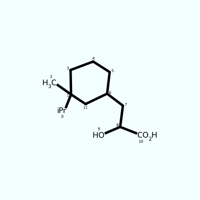 CC(C)C1(C)CCCC(CC(O)C(=O)O)C1